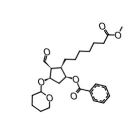 COC(=O)CCCCCC[C@@H]1[C@H](C=O)[C@H](OC2CCCCO2)C[C@@H]1OC(=O)c1ccccc1